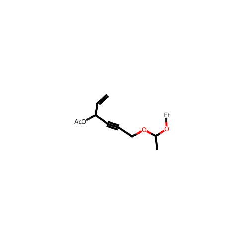 C=CC(C#CCOC(C)OCC)OC(C)=O